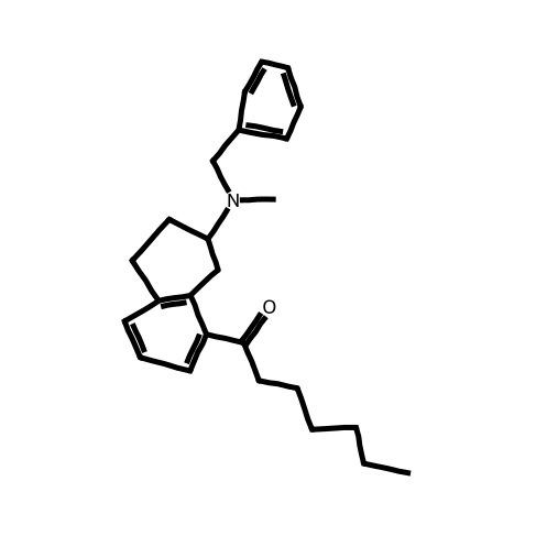 CCCCCCC(=O)c1cccc2c1CC(N(C)Cc1ccccc1)CC2